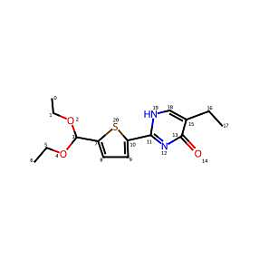 CCOC(OCC)c1ccc(-c2nc(=O)c(CC)c[nH]2)s1